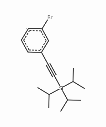 CC(C)[Si](C#Cc1cc[c]c(Br)c1)(C(C)C)C(C)C